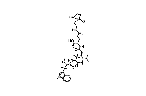 CN[C@H](C(=O)NC(C(=O)N(C)[C@H](/C=C(\C)C(=O)N[C@H](CCC(=O)NCCN1C(=O)C=CC1=O)C(=O)O)C(C)C)C(C)(C)C)C(C)(C)c1cn(C)c2ccccc12